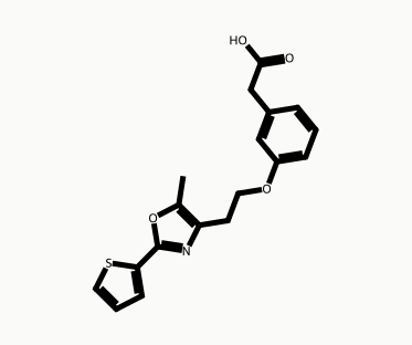 Cc1oc(-c2cccs2)nc1CCOc1cccc(CC(=O)O)c1